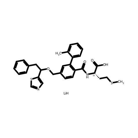 CSCC[C@H](NC(=O)c1ccc(COC(Cc2ccccc2)c2cncs2)cc1-c1ccccc1C)C(=O)O.[LiH]